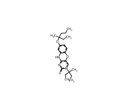 CCCC(C)(CC)Oc1ccc2c(c1)Nc1nc(=O)n(C(C)(CC)CC)cc1O2